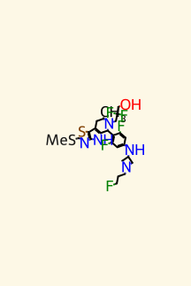 CSc1nc2[nH]c3c(c2s1)CC(C)N(CC(F)(F)CO)C3c1c(F)cc(NC2CN(CCCF)C2)cc1F